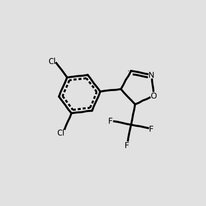 FC(F)(F)C1ON=[C]C1c1cc(Cl)cc(Cl)c1